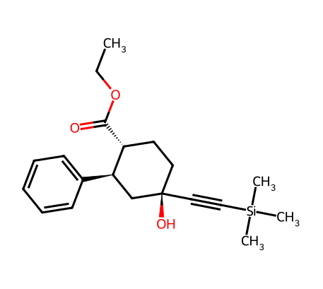 CCOC(=O)[C@@H]1CC[C@](O)(C#C[Si](C)(C)C)C[C@H]1c1ccccc1